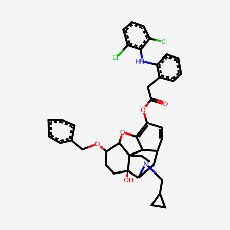 O=C(Cc1ccccc1Nc1c(Cl)cccc1Cl)OC1=C2OC3C(OCc4ccccc4)CC[C@@]4(O)C5CC(C=C1)C2C34CCN5CC1CC1